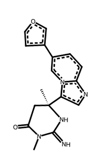 CN1C(=N)N[C@](C)(c2cnc3ccc(-c4ccoc4)cn23)CC1=O